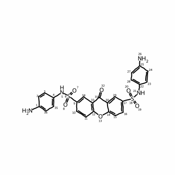 Nc1ccc(NS(=O)(=O)c2ccc3oc4ccc(S(=O)(=O)Nc5ccc(N)cc5)cc4c(=O)c3c2)cc1